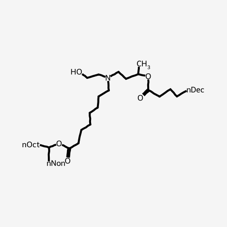 CCCCCCCCCCCCCC(=O)OC(C)CCN(CCO)CCCCCCCC(=O)OC(CCCCCCCC)CCCCCCCCC